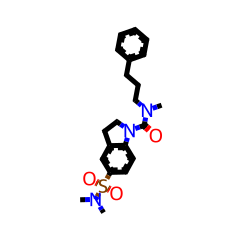 CN(CCCc1ccccc1)C(=O)N1CCc2cc(S(=O)(=O)N(C)C)ccc21